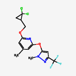 Cc1cc(OCC2CC2(Cl)Cl)nc(Oc2cc(C(F)(F)F)nn2C)c1